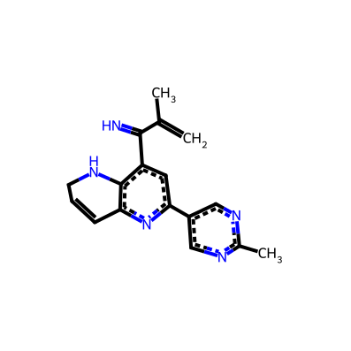 C=C(C)C(=N)c1cc(-c2cnc(C)nc2)nc2c1NCC=C2